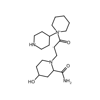 NC(=O)C1CC(O)CCN1C[CH]C(=O)[N+]1(C2CCNCC2)CCCCC1